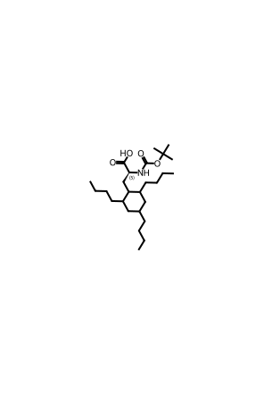 CCCCC1CC(CCCC)C(C[C@H](NC(=O)OC(C)(C)C)C(=O)O)C(CCCC)C1